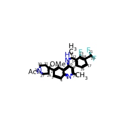 COC1(c2ccc3nc(C)cc(N[C@H](C)c4cccc(C(F)F)c4F)c3c2)CCN(C(C)=O)CC1